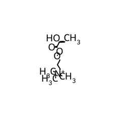 CC=C(O)C(=O)OOCCC[N+](C)(C)C